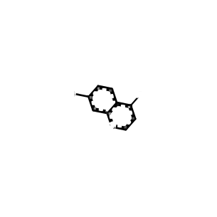 Fc1ccnc2cc(I)ccc12